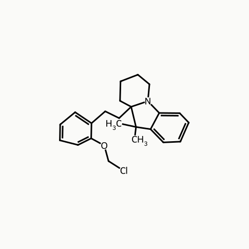 CC1(C)c2ccccc2N2CCCCC21CCc1ccccc1OCCl